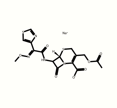 CON=C(C(=O)NC1C(=O)N2C(C(=O)[O-])=C(COC(C)=O)CS[C@@H]12)c1cscn1.[Na+]